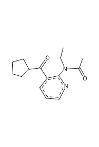 CCN(C(C)=O)c1ncccc1C(=O)C1CCCC1